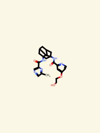 Cc1cncc(C(=O)NC23CC4CC(CC(NC(=O)c5cc(OCCO)ccn5)(C4)C2)C3)n1